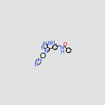 CN1CCN([C@H]2CC[C@@H](n3cc(-c4ccc(CNC(=O)c5ccccc5)cc4)c4c(N)ncnc43)CC2)CC1